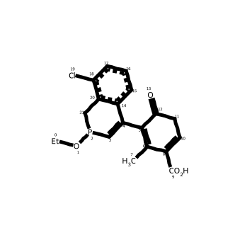 CCOP1C=C(C2=C(C)C(C(=O)O)=CCC2=O)c2cccc(Cl)c2C1